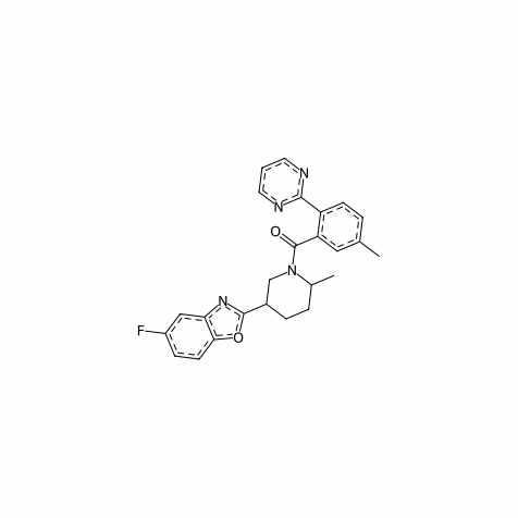 Cc1ccc(-c2ncccn2)c(C(=O)N2CC(c3nc4cc(F)ccc4o3)CCC2C)c1